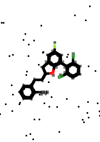 O=S(=O)(O)c1ccccc1CCC1Cc2cc(F)cc(-c3c(Cl)cccc3Cl)c2O1